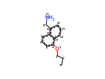 CCCOc1cccc2c(CN)cccc12